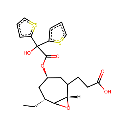 CC[C@@H]1C[C@@H](OC(=O)C(O)(c2cccs2)c2cccs2)CC(CCC(=O)O)[C@@H]2OC12